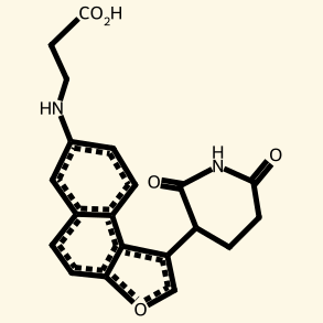 O=C(O)CCNc1ccc2c(ccc3occ(C4CCC(=O)NC4=O)c32)c1